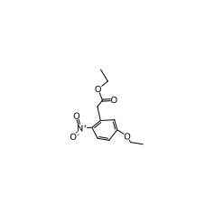 CCOC(=O)Cc1cc(OCC)ccc1[N+](=O)[O-]